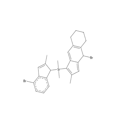 CC1=Cc2c(Br)cccc2C1[Si](C)(C)C1=C(C)C=C2C1=CC1=C(CCCC1)C2Br